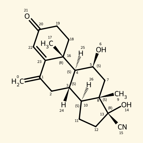 C=C1C[C@@H]2[C@H]([C@@H](O)C[C@@]3(C)[C@H]2CC[C@]3(O)C#N)[C@@]2(C)CCC(=O)C=C12